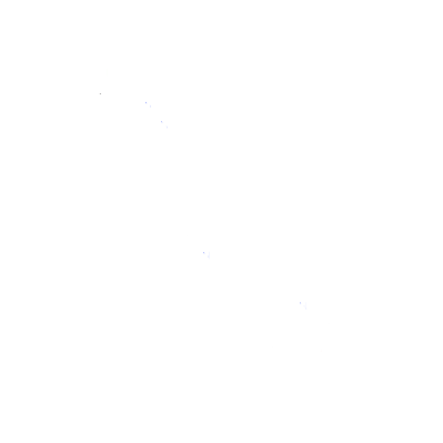 CCn1nc(C(F)(F)F)cc1-c1ccc2[nH]c(C3=CC(C(C)(C)C)N(C(=O)O)CC3)cc2c1